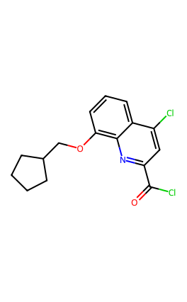 O=C(Cl)c1cc(Cl)c2cccc(OCC3CCCC3)c2n1